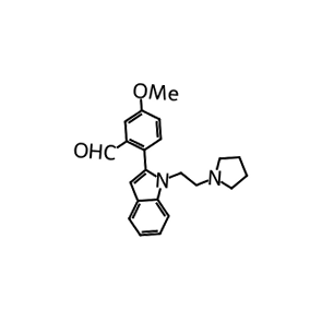 COc1ccc(-c2cc3ccccc3n2CCN2CCCC2)c(C=O)c1